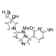 COc1nc(C(C)C)ccc1-c1cnc2sc(N3CC[C@](O)(CN)C3)nn12